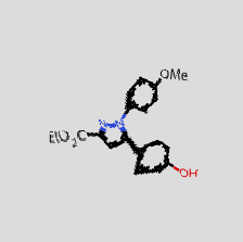 CCOC(=O)c1cc(-c2ccc(O)cc2)n(-c2ccc(OC)cc2)n1